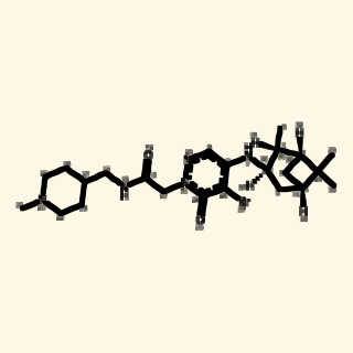 C[C@@H]1[C@H]2C[C@@H](C[C@H]1Nc1cnn(CC(=O)NCC3CCN(C)CC3)c(=O)c1Br)C2(C)C